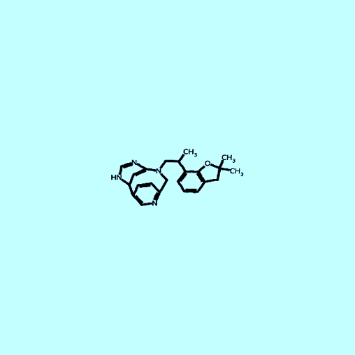 CC(CN1Cc2ccc(cn2)C2C=C1N=CN2)c1cccc2c1OC(C)(C)C2